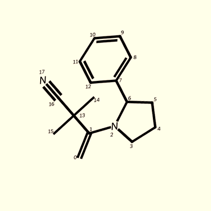 C=C(N1CCCC1c1ccccc1)C(C)(C)C#N